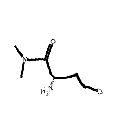 CN(C)C(=O)[C@@H](N)CCCl